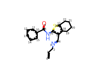 C=CC/N=C/c1c(NC(=O)c2ccccc2)sc2c1CCCC2